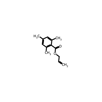 C=CCOC(=O)c1c(C)cc(C)cc1C